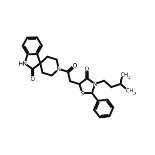 CC(C)CCN1C(=O)C(CC(=O)N2CCC3(CC2)C(=O)Nc2ccccc23)SC1c1ccccc1